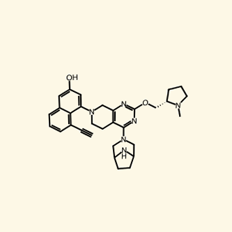 C#Cc1cccc2cc(O)cc(N3CCc4c(nc(OC[C@@H]5CCCN5C)nc4N4CC5CCC(C4)N5)C3)c12